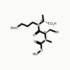 COCCCN(C(=O)[C@@H](CC(C)C)N(C)C(=O)OC(C)(C)C)[C@H](C)C(=O)O